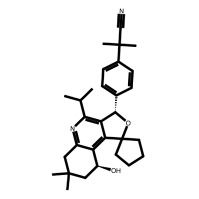 CC(C)c1nc2c(c3c1[C@H](c1ccc(C(C)(C)C#N)cc1)OC31CCCC1)[C@@H](O)CC(C)(C)C2